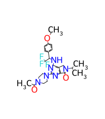 CCOc1ccc([C@@H](Nc2nc(N3CCN(C(C)=O)CC3)nc3c2CN(C(C)C)C3=O)C(F)(F)F)cc1